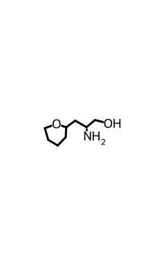 N[C@H](CO)CC1CCCCO1